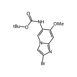 COc1cc2nc(Br)cn2cc1NC(=O)OC(C)(C)C